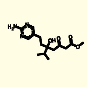 COC(=O)CC(=O)CC(O)(CCc1cnc(N)nc1)C(C)C